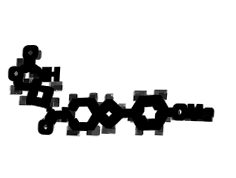 COc1ccc(C2CC3(CCN(C(=O)[C@H]4C[C@]5(COC(=O)N5)C4)CC3)C2)cc1